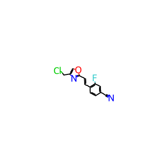 N#Cc1ccc(C=Cc2nc(CCl)co2)c(F)c1